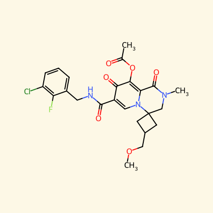 COCC1CC2(C1)CN(C)C(=O)c1c(OC(C)=O)c(=O)c(C(=O)NCc3cccc(Cl)c3F)cn12